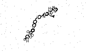 O=C1CCC(N2C(=O)c3ccc(N4CCC5(CCC(CN6CCC(c7cn8cc(NC(=O)c9cnn%10cccnc9%10)c(OCC9CC9)cc8n7)CC6)CC5)CC4)cc3C2=O)C(=O)N1